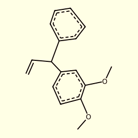 C=CC(c1ccccc1)c1ccc(OC)c(OC)c1